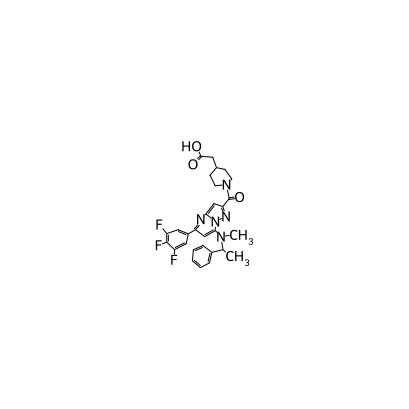 CC(c1ccccc1)N(C)c1cc(-c2cc(F)c(F)c(F)c2)nc2cc(C(=O)N3CCC(CC(=O)O)CC3)nn12